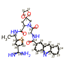 C[C@@H](NC(=O)C1CC2(CN1C(=O)CNC(=O)c1ccc3nc4ccccc4cc3c1)OCCO2)c1cc(C(=N)N)cs1